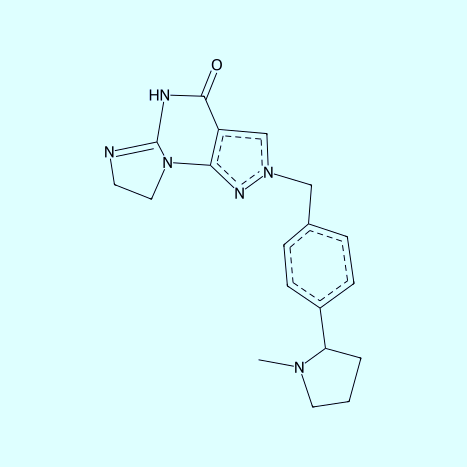 CN1CCCC1c1ccc(Cn2cc3c(n2)N2CCN=C2NC3=O)cc1